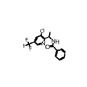 CC(NC(=O)c1ccccc1)c1ncc(C(F)(F)F)cc1Cl